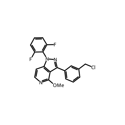 COc1nccc2c1c(-c1cccc(CCl)c1)nn2-c1c(F)cccc1F